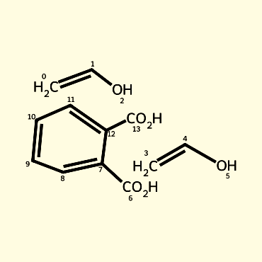 C=CO.C=CO.O=C(O)c1ccccc1C(=O)O